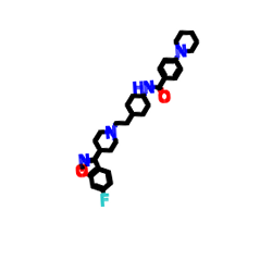 O=C(NC1CCC(CCN2CCC(c3noc4cc(F)ccc34)CC2)CC1)c1ccc(N2CCCCC2)cc1